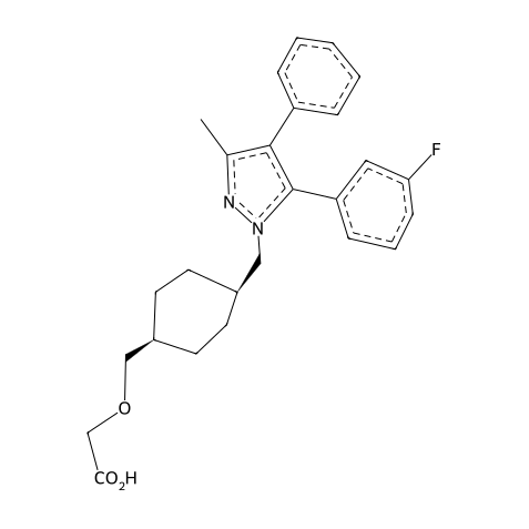 Cc1nn(C[C@H]2CC[C@@H](COCC(=O)O)CC2)c(-c2cccc(F)c2)c1-c1ccccc1